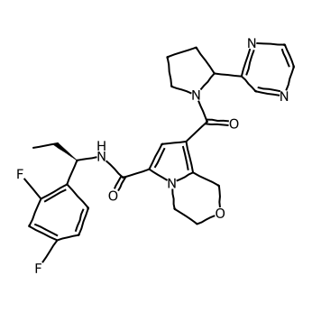 CC[C@@H](NC(=O)c1cc(C(=O)N2CCCC2c2cnccn2)c2n1CCOC2)c1ccc(F)cc1F